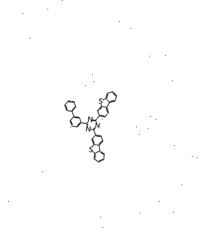 c1ccc(-c2cccc(-c3nc(-c4ccc5c(c4)sc4ccccc45)nc(-c4ccc5c(c4)sc4ccccc45)n3)c2)cc1